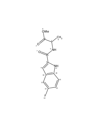 COC(=O)C(C)NC(=O)c1cc2cc(F)ccc2[nH]1